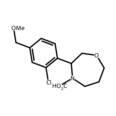 COCc1ccc(C2COCCCN2C(=O)O)c(Cl)c1